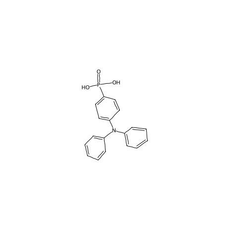 O=P(O)(O)c1ccc(N(c2ccccc2)c2ccccc2)cc1